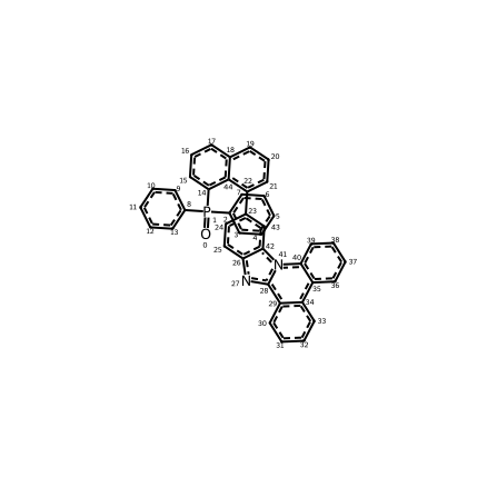 O=P(c1ccccc1)(c1ccccc1)c1cccc2cccc(-c3ccc4nc5c6ccccc6c6ccccc6n5c4c3)c12